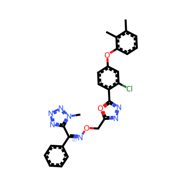 Cc1cccc(Oc2ccc(-c3nnc(CO/N=C(/c4ccccc4)c4nnnn4C)o3)c(Cl)c2)c1C